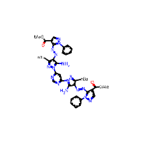 CCCCc1nn(-c2cc(-n3nc(CCCC)c(/N=N/c4c(C(=O)OC)cnn4-c4ccccc4)c3N)ncn2)c(N)c1/N=N/c1c(C(=O)OC)cnn1-c1ccccc1